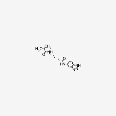 C=C(C)C(=O)NCCCCCC(=O)Nc1ccc2[nH]nnc2c1